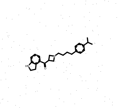 CC(C)c1ccc(CCCCN2CC(C(=O)c3cccc4c3CCN4)C2)cc1